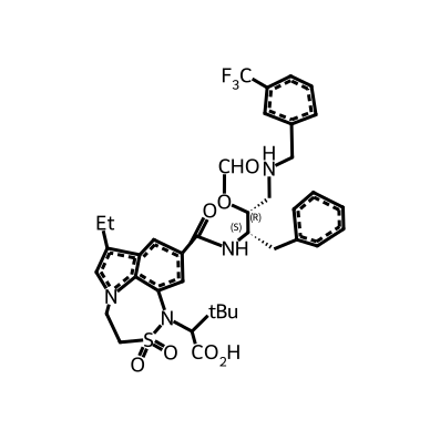 CCc1cn2c3c(cc(C(=O)N[C@@H](Cc4ccccc4)[C@@H](CNCc4cccc(C(F)(F)F)c4)OC=O)cc13)N(C(C(=O)O)C(C)(C)C)S(=O)(=O)CC2